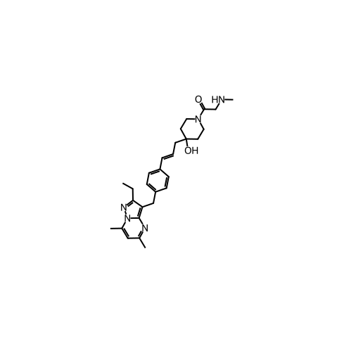 CCc1nn2c(C)cc(C)nc2c1Cc1ccc(C=CCC2(O)CCN(C(=O)CNC)CC2)cc1